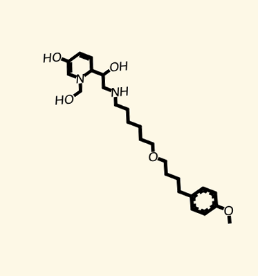 COc1ccc(CCCCOCCCCCCNCC(O)C2C=CC(O)=CN2CO)cc1